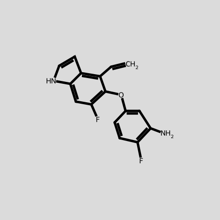 C=Cc1c(Oc2ccc(F)c(N)c2)c(F)cc2[nH]ccc12